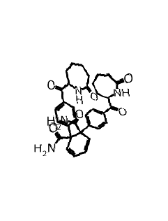 NC(=O)C1(c2ccc(C(=O)C3CCCCC(=O)N3)cc2)C=CC=CC1(C(N)=O)c1ccc(C(=O)C2CCCCC(=O)N2)cc1